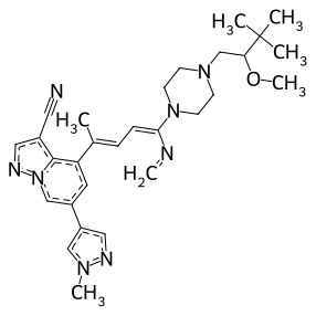 C=N/C(=C\C=C(/C)c1cc(-c2cnn(C)c2)cn2ncc(C#N)c12)N1CCN(CC(OC)C(C)(C)C)CC1